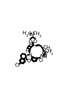 C[C@@H]1[C@@H](C)C/C=C/[C@H]([C@H]2OC[C@@H](N(C)C)CO2)[C@@H]2CC[C@H]2CN2C[C@@]3(CCCc4cc(Cl)ccc43)COc3ccc(cc32)C(=O)NS1(=O)=O